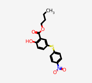 CCCCOC(=O)c1cc(Sc2ccc([N+](=O)[O-])cc2)ccc1O